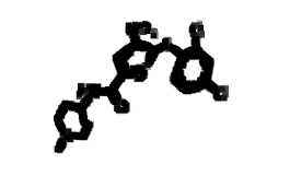 CN1CCC(NC(=O)c2cc([N+](=O)[O-])c(Sc3ccc(Cl)cc3Cl)s2)CC1